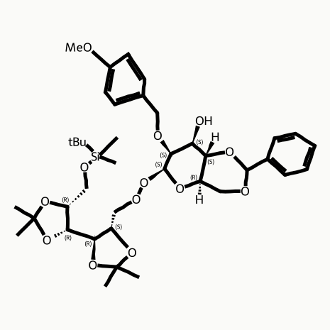 COc1ccc(CO[C@@H]2[C@H](OOC[C@@H]3OC(C)(C)O[C@H]3[C@@H]3OC(C)(C)O[C@@H]3CO[Si](C)(C)C(C)(C)C)O[C@@H]3COC(c4ccccc4)O[C@H]3[C@@H]2O)cc1